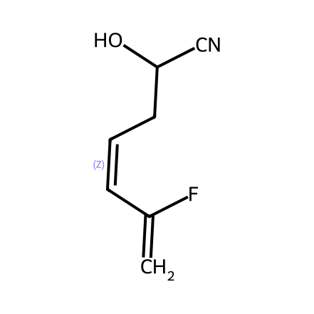 C=C(F)/C=C\CC(O)C#N